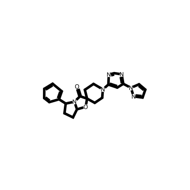 O=C1N2C(CCC2c2ccccc2)OC12CCN(c1cc(-n3cccn3)ncn1)CC2